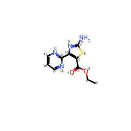 CCOC(=O)c1sc(N)nc1-c1ncccn1